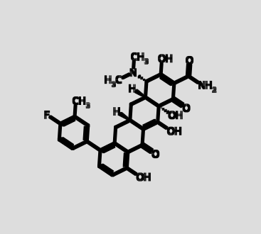 Cc1cc(-c2ccc(O)c3c2C[C@@H]2C[C@@H]4[C@H](N(C)C)C(O)=C(C(N)=O)C(=O)[C@@]4(O)C(O)=C2C3=O)ccc1F